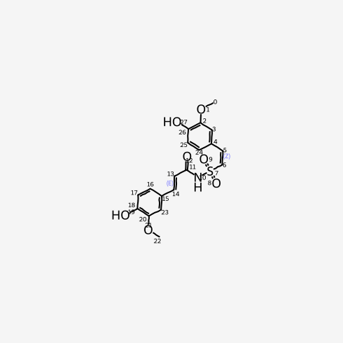 COc1cc(/C=C\S(=O)(=O)NC(=O)/C=C/c2ccc(O)c(OC)c2)ccc1O